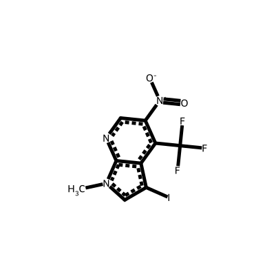 Cn1cc(I)c2c(C(F)(F)F)c([N+](=O)[O-])cnc21